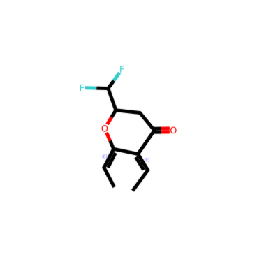 C/C=C1/OC(C(F)F)CC(=O)/C1=C/C